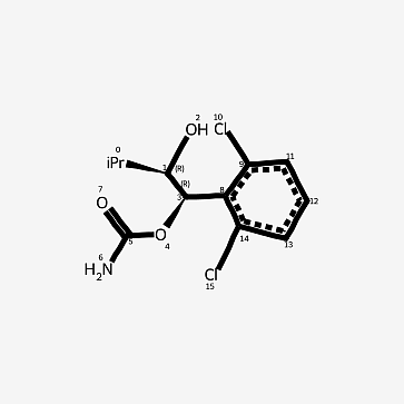 CC(C)[C@@H](O)[C@H](OC(N)=O)c1c(Cl)cccc1Cl